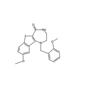 COc1ccc2sc3c(c2c1)N(Cc1ccccc1OC)CCNC3=O